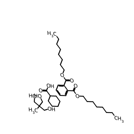 CC(CO)(CO)CO.CCCCCCCCOC(=O)c1ccccc1C(=O)OCCCCCCCC.O=C(O)C1CCCCC1